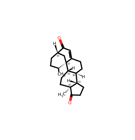 CC1CC[C@H]2C[C@]13C(=CC2=O)CC[C@@H]1[C@@H]3CC[C@]2(C)C(=O)CC[C@@H]12